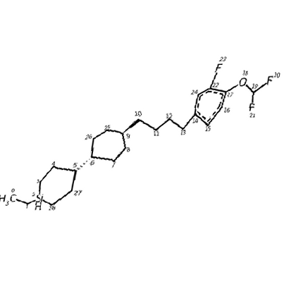 CC[SiH]1CCC([C@H]2CC[C@H](CCCCc3ccc(OC(F)F)c(F)c3)CC2)CC1